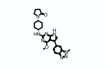 COc1nc(N[C@H]2CC[C@@H](N3CCCC3=O)CC2)nc2[nH]cc(-c3ccc4nnn(C)c4c3)c12